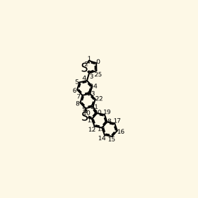 c1csc(-c2ccc3cc4sc5cc6ccccc6cc5c4cc3c2)c1